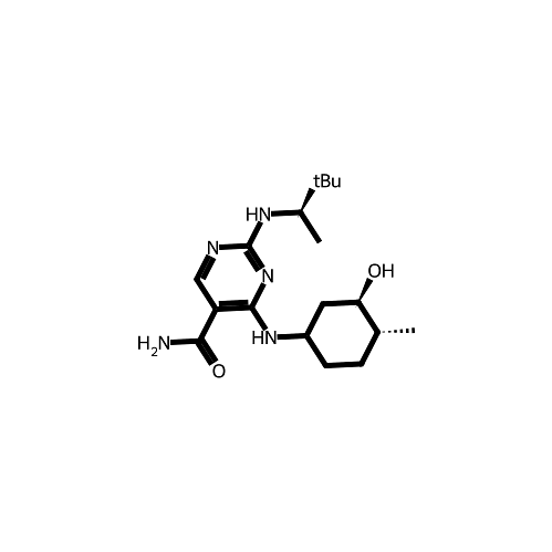 C[C@@H]1CCC(Nc2nc(N[C@H](C)C(C)(C)C)ncc2C(N)=O)C[C@H]1O